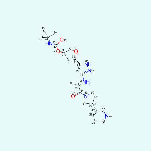 C[C@H](Nc1cc([C@H]2C[C@@H](OC(=O)NC3(C)CC3)CO2)[nH]n1)C(=O)N1CC[C@H](c2cccnc2)C1